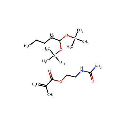 C=C(C)C(=O)OCCNC(N)=O.CCC[SiH2]C(O[Si](C)(C)C)O[Si](C)(C)C